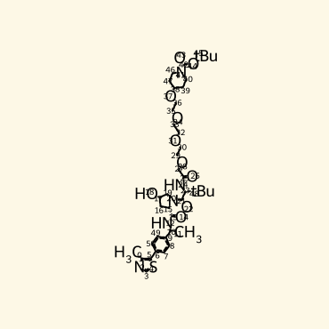 Cc1ncsc1-c1ccc([C@H](C)NC(=O)[C@@H]2C[C@@H](O)CN2C(=O)[C@@H](NC(=O)COCCOCCOCCOC2CCN(C(=O)OC(C)(C)C)CC2)C(C)(C)C)cc1